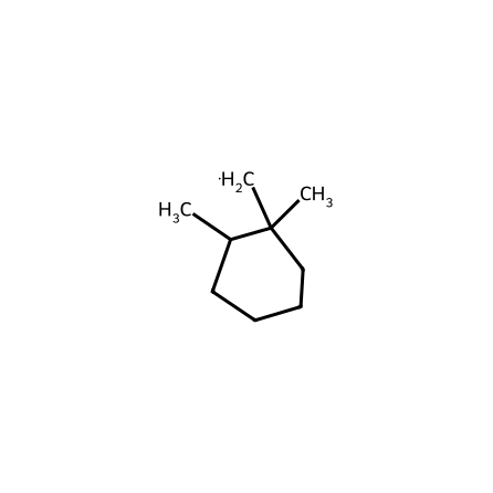 [CH2]C1(C)CCCCC1C